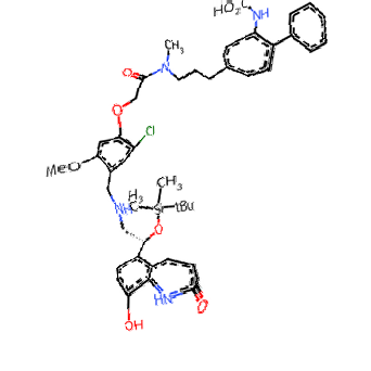 COc1cc(OCC(=O)N(C)CCCc2ccc(-c3ccccc3)c(NC(=O)O)c2)c(Cl)cc1CNC[C@H](O[Si](C)(C)C(C)(C)C)c1ccc(O)c2[nH]c(=O)ccc12